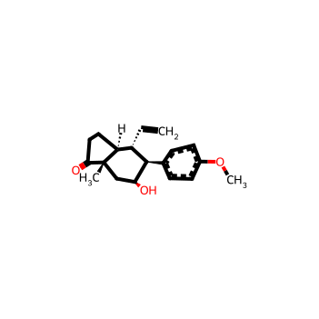 C=C[C@@H]1[C@@H](c2ccc(OC)cc2)[C@@H](O)C[C@]2(C)C(=O)CC[C@@H]12